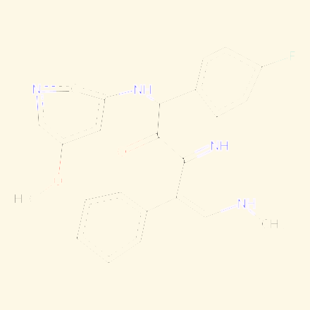 CN/C=C(\C(=N)C(=O)C(Nc1cncc(OC)c1)c1ccc(F)cc1)c1ccccc1